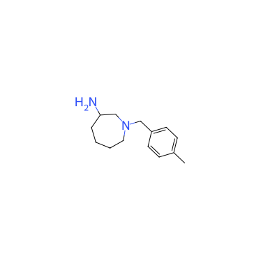 Cc1ccc(CN2CCCCC(N)C2)cc1